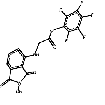 O=C(CNc1cccc2c1C(=O)N(O)C2=O)Oc1c(F)c(F)c(F)c(F)c1F